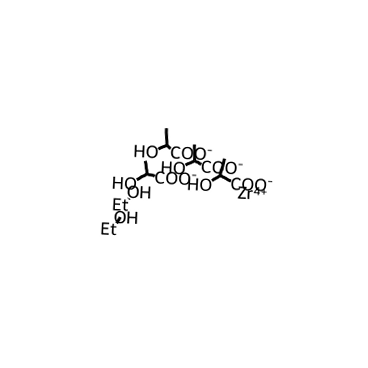 CC(O)C(=O)[O-].CC(O)C(=O)[O-].CC(O)C(=O)[O-].CC(O)C(=O)[O-].CCO.CCO.[Zr+4]